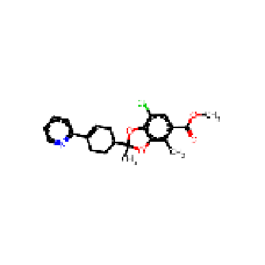 COC(=O)c1cc(Cl)c2c(c1C)OC(C)(C1CC=C(c3ccccn3)CC1)O2